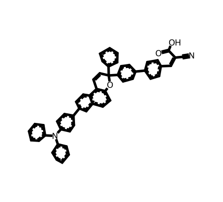 N#C/C(=C/c1ccc(-c2ccc(C3(c4ccccc4)C=Cc4c(ccc5cc(-c6ccc(N(c7ccccc7)c7ccccc7)cc6)ccc45)O3)cc2)cc1)C(=O)O